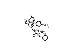 CC(C)CN(C(CO)CCCNC(=O)[C@@H](N)Cc1ccccc1Cl)S(=O)(=O)c1ccc(N)cc1